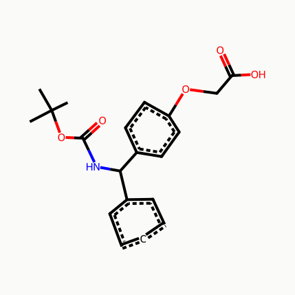 CC(C)(C)OC(=O)NC(c1ccccc1)c1ccc(OCC(=O)O)cc1